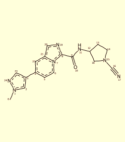 Cn1cc(-c2ccn3c(C(=O)NC4CCN(C#N)C4)ncc3c2)cn1